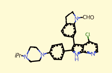 CC(C)N1CCN(c2ccc(-c3[nH]c4nccc(Cl)c4c3-c3ccc4c(c3)N(C=O)CC4)cc2)CC1